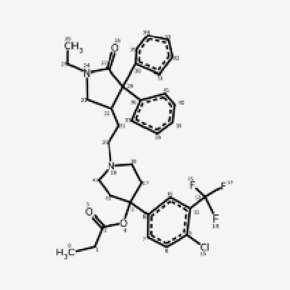 CCC(=O)OC1(c2ccc(Cl)c(C(F)(F)F)c2)CCN(CCC2CN(CC)C(=O)C2(c2ccccc2)c2ccccc2)CC1